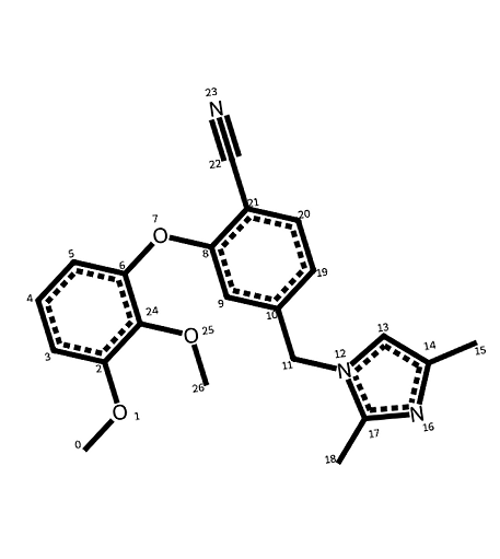 COc1cccc(Oc2cc(Cn3cc(C)nc3C)ccc2C#N)c1OC